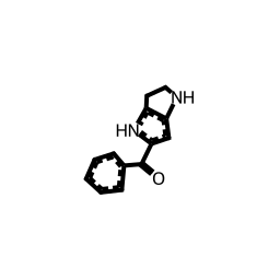 O=C(c1ccccc1)c1cc2c([nH]1)CCN2